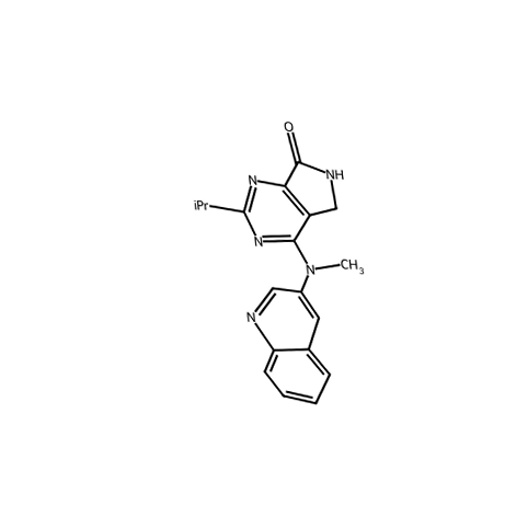 CC(C)c1nc2c(c(N(C)c3cnc4ccccc4c3)n1)CNC2=O